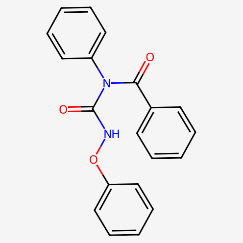 O=C(NOc1ccccc1)N(C(=O)c1ccccc1)c1ccccc1